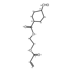 C=CC(=O)OCCOC(=O)C1CCC(C=O)CC1